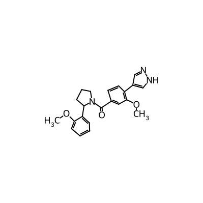 COc1cc(C(=O)N2CCCC2c2ccccc2OC)ccc1-c1cn[nH]c1